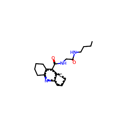 CCCCNC(=O)CNC(=O)c1c2c(nc3ccccc13)CCCC2